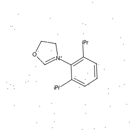 CC(C)c1cccc(C(C)C)c1[N+]1=COCC1